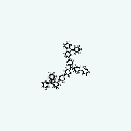 c1ccc(-c2ccc(N(c3ccc(-c4ccc(-c5cccc6c5c5ccccc5n6-c5ccccc5)cc4)cc3)c3ccc(-c4ccc5c(c4)C(c4ccccc4)c4ccccc4-5)cc3)cc2)cc1